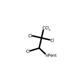 CCCCCC(Cl)C(Cl)(Cl)C(Cl)(Cl)Cl